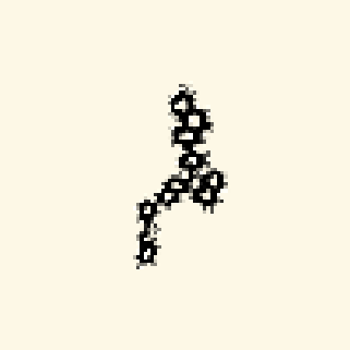 c1cc(-c2ccc3cc(N(c4ccc(-c5ccc6c(ccc7ccccc76)c5)cc4)c4cccc5ccccc45)ccc3c2)cc(-c2cc3ccccc3o2)c1